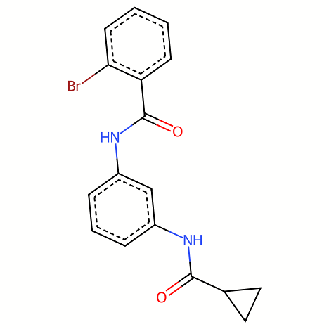 O=C(Nc1cccc(NC(=O)C2CC2)c1)c1ccccc1Br